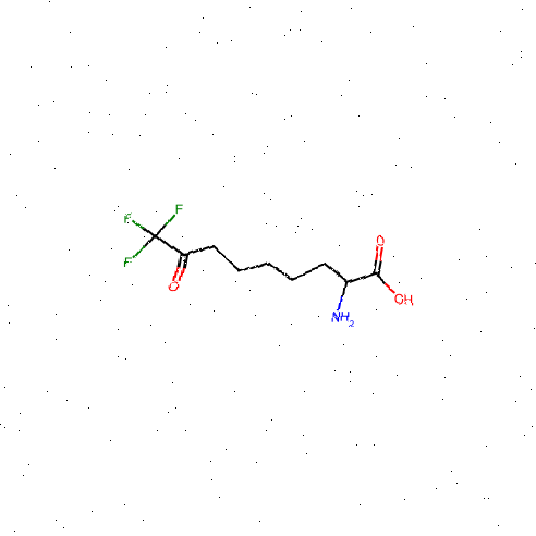 NC(CCCCCC(=O)C(F)(F)F)C(=O)O